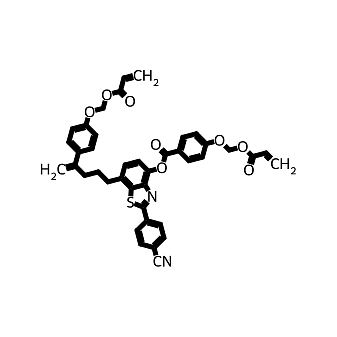 C=CC(=O)OCOc1ccc(C(=C)CCCc2ccc(OC(=O)c3ccc(OCOC(=O)C=C)cc3)c3nc(-c4ccc(C#N)cc4)sc23)cc1